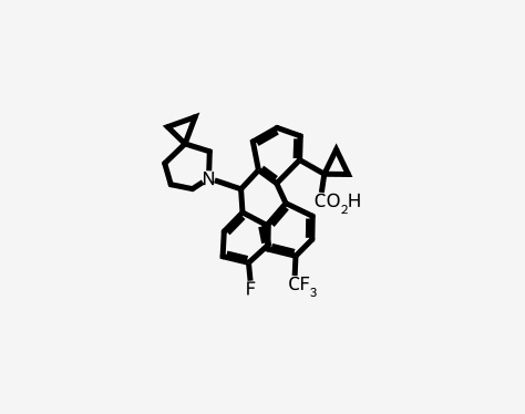 O=C(O)C1(c2cccc(C(c3ccc(F)cc3)N3CCCC4(CC4)C3)c2-c2ccc(C(F)(F)F)cc2)CC1